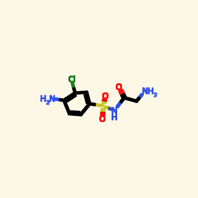 NCC(=O)NS(=O)(=O)c1ccc(N)c(Cl)c1